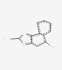 Nc1nc2cc(N)c3ccccc3c2o1